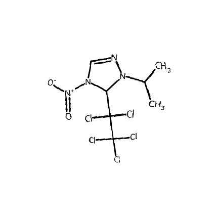 CC(C)N1N=CN([N+](=O)[O-])C1C(Cl)(Cl)C(Cl)(Cl)Cl